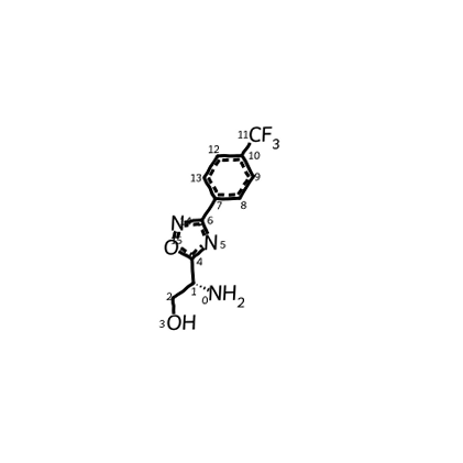 N[C@H](CO)c1nc(-c2ccc(C(F)(F)F)cc2)no1